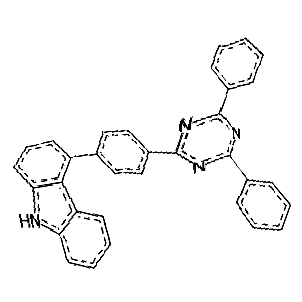 c1ccc(-c2nc(-c3ccccc3)nc(-c3ccc(-c4cccc5[nH]c6ccccc6c45)cc3)n2)cc1